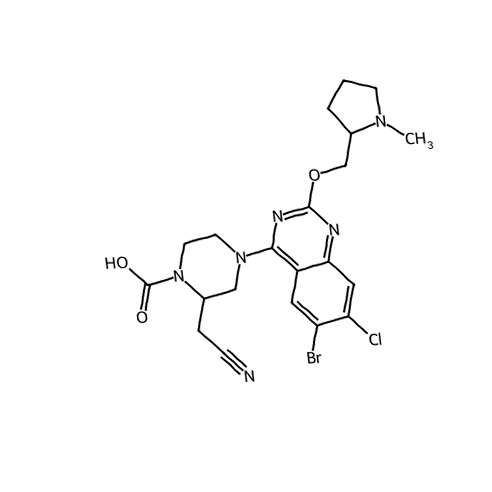 CN1CCCC1COc1nc(N2CCN(C(=O)O)C(CC#N)C2)c2cc(Br)c(Cl)cc2n1